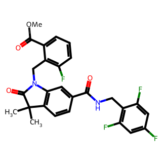 COC(=O)c1cccc(F)c1CN1C(=O)C(C)(C)c2ccc(C(=O)NCc3c(F)cc(F)cc3F)cc21